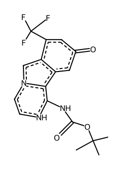 CC(C)(C)OC(=O)Nc1[nH]ccn2cc3c(C(F)(F)F)cc(=O)cc3c12